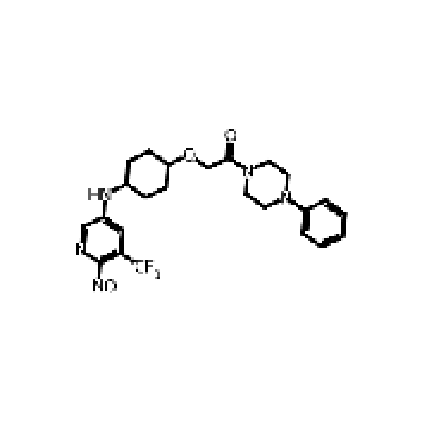 O=Nc1ncc(NC2CCC(OCC(=O)N3CCN(c4ccccc4)CC3)CC2)cc1C(F)(F)F